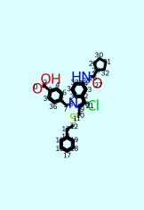 O=C(O)c1ccc(Cn2c(CSCCc3ccccc3)c(Cl)c3cc(NC(=O)C4CCCC4)ccc32)cc1